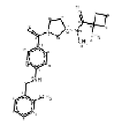 Cc1ncccc1CNc1ccc(C(=O)N2CC[C@H](N(C)C(=O)C3(C)CCC3)C2)cn1